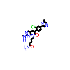 CNc1ncc2cc(-c3ccc(-c4cncc(C)n4)cc3Cl)c(=O)n(CCCCC(N)=O)c2n1